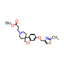 Cc1nc(COc2ccc3c(c2)OCC32CCN(CCC(=O)OC(C)(C)C)CC2)cs1